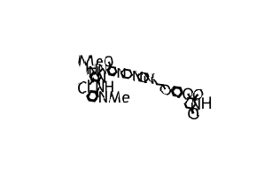 CNc1ccccc1Nc1nc(Nc2ccc(N3CCC(N4CCN(CCCOc5ccc(OC6CCC(=O)NC6=O)cc5)CC4)CC3)cc2OC)ncc1Cl